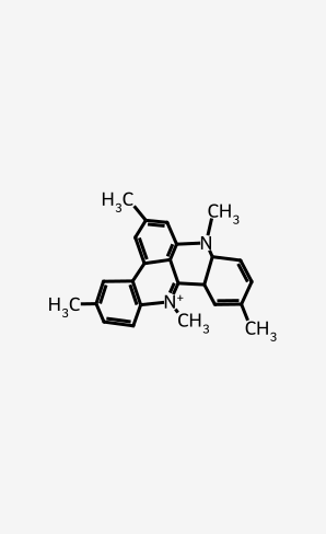 CC1=CC2c3c4c(cc(C)cc4c4cc(C)ccc4[n+]3C)N(C)C2C=C1